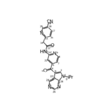 CC(C)n1cc(C(=O)c2ccnc(NC(=O)Cc3ccc(C#N)cn3)c2)c2cncnc21